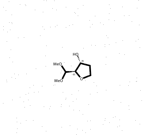 COC(OC)[C@@H]1OCC[C@H]1O